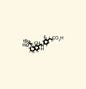 Cc1c(CNc2ccc(CCC(=O)O)c(F)c2)ccc2c1N(CC(O)C(C)(C)C)CCC2